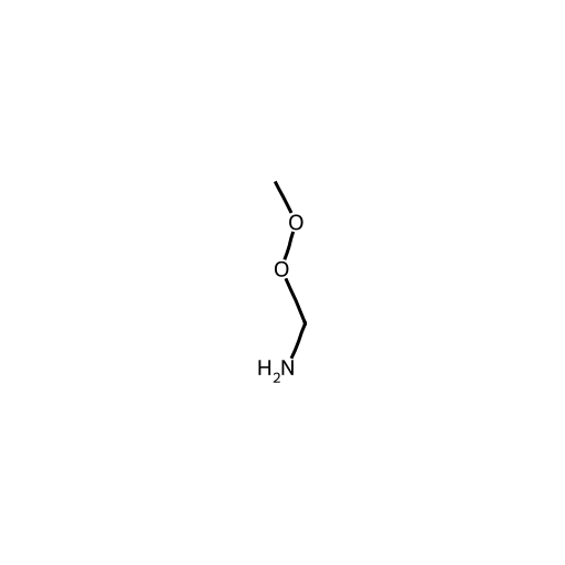 COOCN